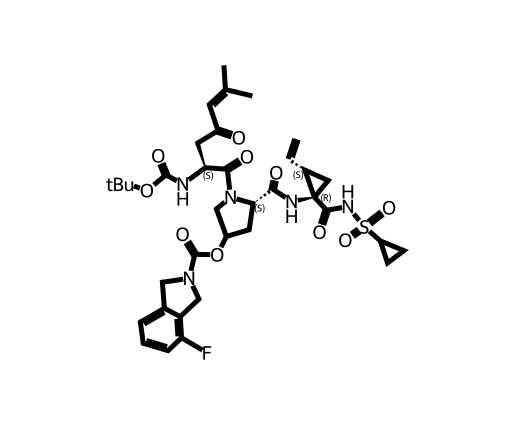 C=C[C@@H]1C[C@]1(NC(=O)[C@@H]1CC(OC(=O)N2Cc3cccc(F)c3C2)CN1C(=O)[C@H](CC(=O)C=C(C)C)NC(=O)OC(C)(C)C)C(=O)NS(=O)(=O)C1CC1